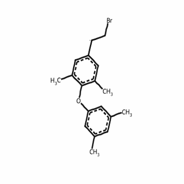 Cc1cc(C)cc(Oc2c(C)cc([CH]CBr)cc2C)c1